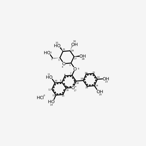 Cl.OC[C@H]1OC(Oc2cc3c(O)cc(O)cc3[o+]c2-c2ccc(O)c(O)c2)[C@H](O)[C@@H](O)[C@@H]1O